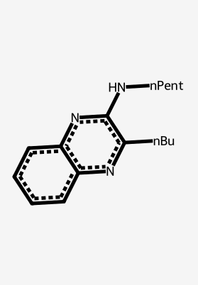 CCCCCNc1nc2ccccc2nc1CCCC